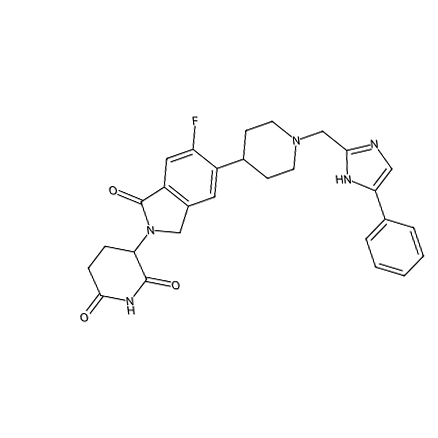 O=C1CCC(N2Cc3cc(C4CCN(Cc5ncc(-c6ccccc6)[nH]5)CC4)c(F)cc3C2=O)C(=O)N1